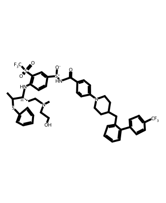 CC(Sc1ccccc1)[C@@H](CCN(C)CCO)Nc1ccc([S+]([O-])NC(=O)c2ccc(N3CCC(Cc4ccccc4-c4ccc(C(F)(F)F)cc4)CC3)cc2)cc1S(=O)(=O)C(F)(F)F